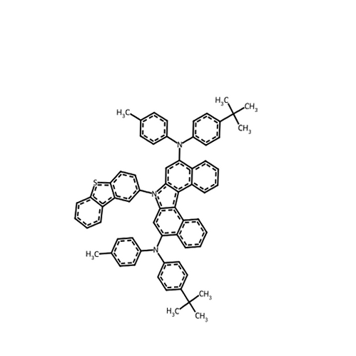 Cc1ccc(N(c2ccc(C(C)(C)C)cc2)c2cc3c(c4ccccc24)c2c4ccccc4c(N(c4ccc(C)cc4)c4ccc(C(C)(C)C)cc4)cc2n3-c2ccc3sc4ccccc4c3c2)cc1